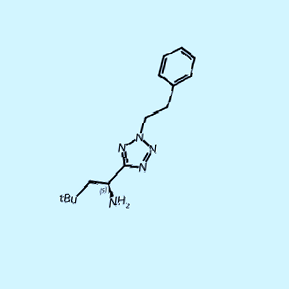 CC(C)(C)C[C@H](N)c1nnn(CCc2ccccc2)n1